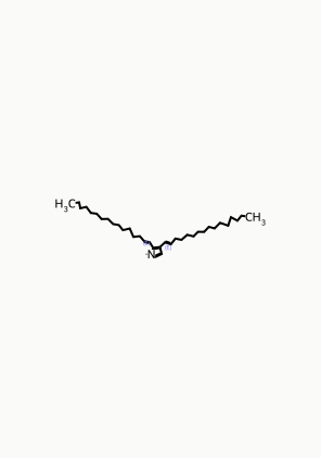 CCCCCCCCCCCCCC/C=C/C1=C(/C=C/CCCCCCCCCCCCCC)[N]C=C1